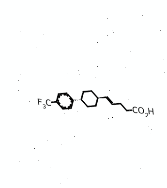 O=C(O)CCC=C[C@H]1CC[C@H](c2ccc(C(F)(F)F)cc2)CC1